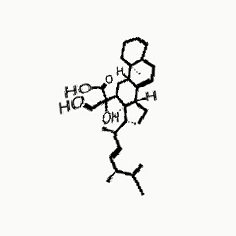 CC(C)[C@@H](C)C=C[C@@H](C)[C@H]1CC[C@H]2C3=CCC4CCCC[C@]4(C)[C@H]3CC(C(O)(CO)C(=O)O)[C@]12C